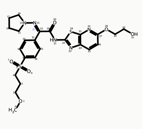 COCCCS(=O)(=O)c1ccc(/C(=N\N2CCCC2)C(=O)Nc2nc3ccc(OCCO)nc3s2)cc1